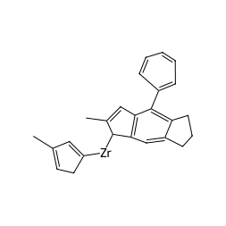 CC1=CC[C]([Zr][CH]2C(C)=Cc3c2cc2c(c3-c3ccccc3)CCC2)=C1